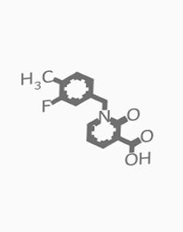 Cc1ccc(Cn2cccc(C(=O)O)c2=O)cc1F